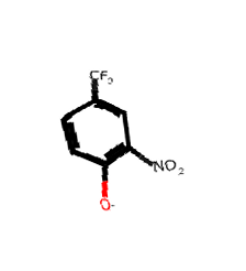 [O]c1ccc(C(F)(F)F)cc1[N+](=O)[O-]